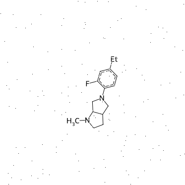 CCc1ccc(N2CC3CCN(C)C3C2)c(F)c1